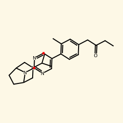 CCC(=O)Cc1ccc(-c2cnc(N3C4CCC3CN(C(C)C)C4)nc2)c(C)c1